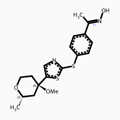 CO[C@]1(c2cnc(Sc3ccc(/C(C)=N/O)cc3)s2)CCO[C@@H](C)C1